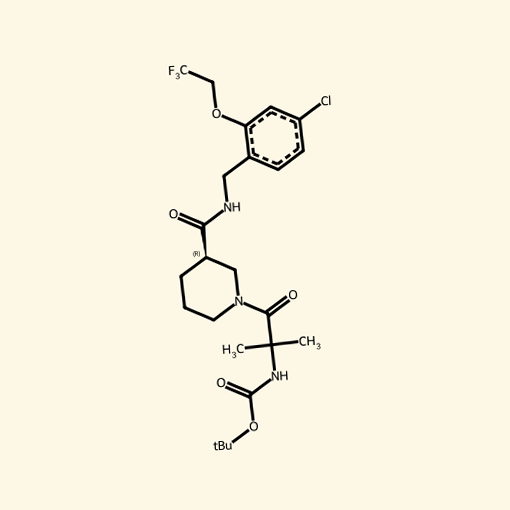 CC(C)(C)OC(=O)NC(C)(C)C(=O)N1CCC[C@@H](C(=O)NCc2ccc(Cl)cc2OCC(F)(F)F)C1